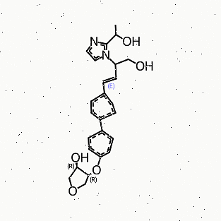 CC(O)c1nccn1C(/C=C/c1ccc(-c2ccc(O[C@@H]3COC[C@H]3O)cc2)cc1)CO